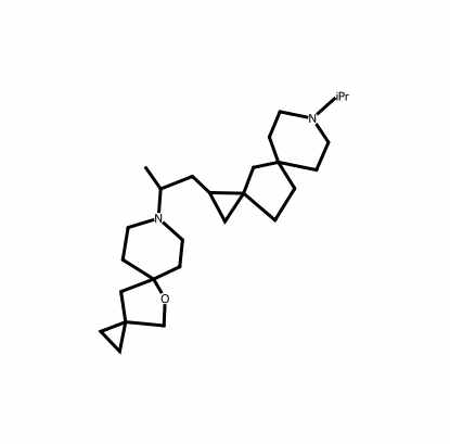 CC(C)N1CCC2(CC1)CCC1(CC1CC(C)N1CCC3(CC1)CC1(CC1)CO3)C2